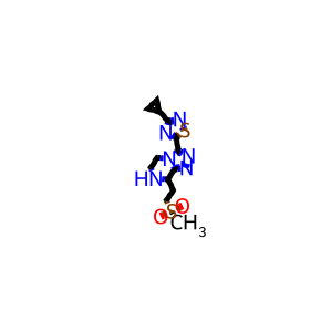 CS(=O)(=O)CCC1NCCn2c(-c3nc(C4CC4)ns3)nnc21